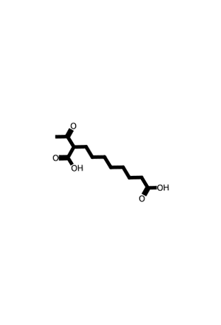 CC(=O)C(CCCCCCCC(=O)O)C(=O)O